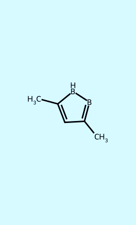 CC1=BBC(C)=C1